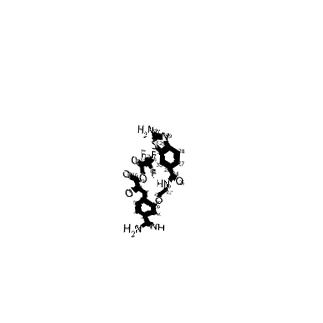 N=C(N)c1ccc(CC(=O)C(=O)OC(=O)C(F)(F)F)c(OCCNC(=O)c2ccc3nc(N)sc3c2)c1